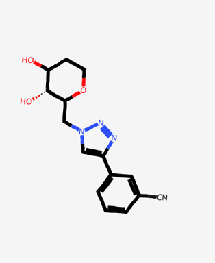 N#Cc1cccc(-c2cn(CC3OCCC(O)[C@H]3O)nn2)c1